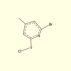 Cc1cc(Br)nc(SCl)c1